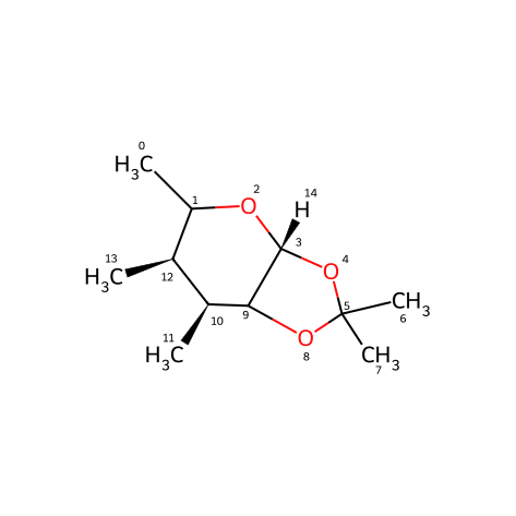 CC1O[C@@H]2OC(C)(C)OC2[C@@H](C)[C@H]1C